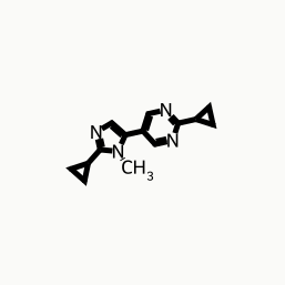 Cn1c(-c2cnc(C3CC3)nc2)cnc1C1CC1